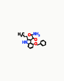 CCCc1[nH]c2cccc(OCc3ccccc3)c2c1C(=O)C(N)=O